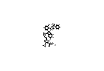 CCCc1nc(C2CC2)c(C(N)=O)n1Cc1ccc2oc(-c3cccc(I)c3C(=O)NS(=O)(=O)c3ccccc3)c(Br)c2c1